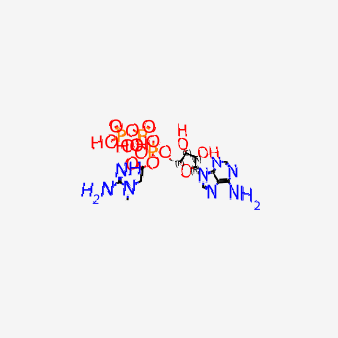 CN(CC(=O)OP(=O)(OC[C@H]1O[C@@H](n2cnc3c(N)ncnc32)[C@H](O)[C@@H]1O)OP(=O)(O)OP(=O)(O)O)C(=N)N